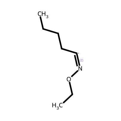 CCCC/[C]=N\OCC